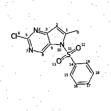 Cc1cc2nc(Cl)ncc2n1S(=O)(=O)c1ccccc1